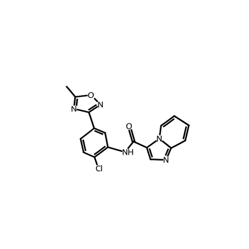 Cc1nc(-c2ccc(Cl)c(NC(=O)c3cnc4ccccn34)c2)no1